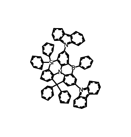 c1ccc(B2c3cc(-n4c5ccccc5c5ccccc54)cc4c3N3c5c2cc(-n2c6ccccc6c6ccccc62)cc5[Si](c2ccccc2)(c2ccccc2)c2cccc(c23)C4(c2ccccc2)c2ccccc2)cc1